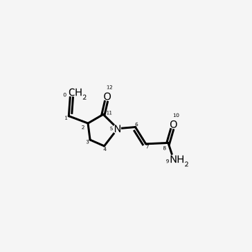 C=CC1CCN(C=CC(N)=O)C1=O